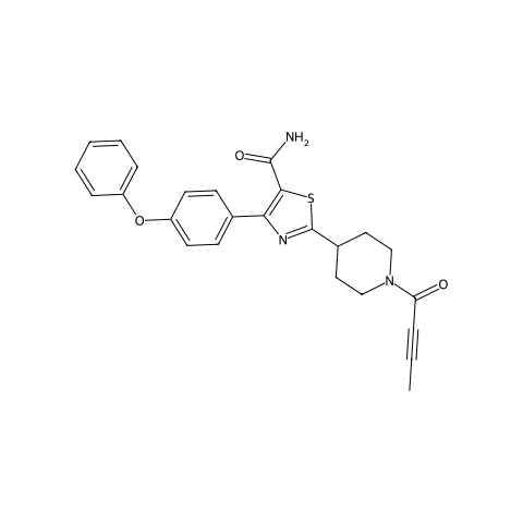 CC#CC(=O)N1CCC(c2nc(-c3ccc(Oc4ccccc4)cc3)c(C(N)=O)s2)CC1